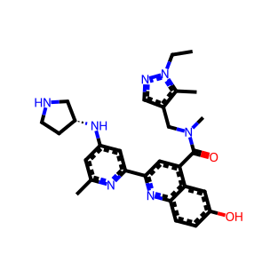 CCn1ncc(CN(C)C(=O)c2cc(-c3cc(N[C@@H]4CCNC4)cc(C)n3)nc3ccc(O)cc23)c1C